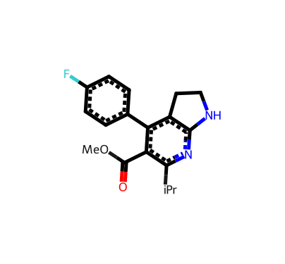 COC(=O)c1c(C(C)C)nc2c(c1-c1ccc(F)cc1)CCN2